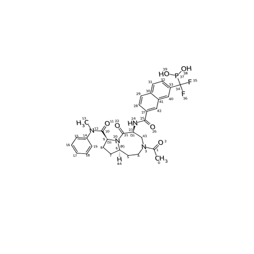 CC(=O)N1CC[C@H]2CC[C@@H](C(=O)N(C)c3ccccc3)N2C(=O)[C@@H](NC(=O)c2ccc3ccc(C(F)(F)P(O)O)cc3c2)C1